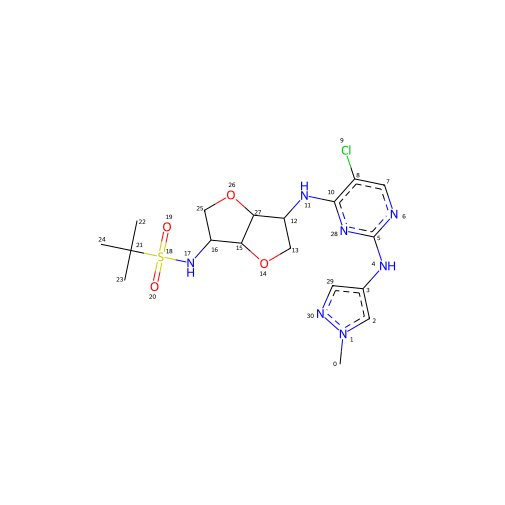 Cn1cc(Nc2ncc(Cl)c(NC3COC4C(NS(=O)(=O)C(C)(C)C)COC34)n2)cn1